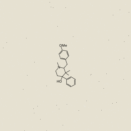 COc1ccc(CC2N(C)CCC(O)(c3ccccc3)C2(C)C)cc1